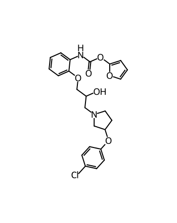 O=C(Nc1ccccc1OCC(O)CN1CCC(Oc2ccc(Cl)cc2)C1)Oc1ccco1